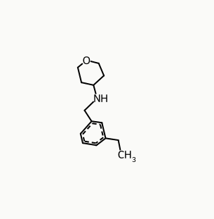 CCc1cccc(CNC2CCOCC2)c1